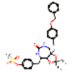 CC1(C)O[C@@H]2[C@@H](O1)[C@@H](Cc1ccc(OS(=O)(=O)C(F)(F)F)cc1)NC(=O)N[C@@H]2Cc1ccc(OCc2ccccc2)cc1